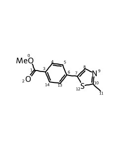 COC(=O)c1ccc(-c2cnc(C)s2)cc1